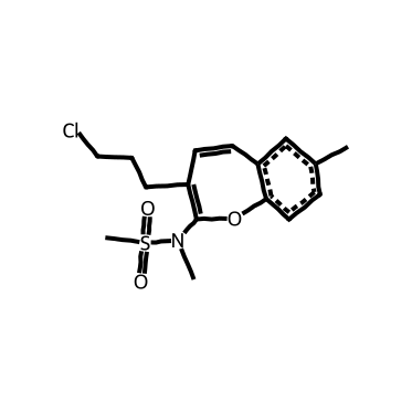 Cc1ccc2c(c1)C=CC(CCCCl)=C(N(C)S(C)(=O)=O)O2